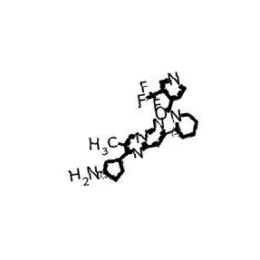 Cc1cn2nc([C@@H]3CCCCN3C(=O)c3ccncc3C(F)(F)F)cc2nc1C1CC[C@H](N)C1